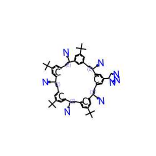 CC(C)(C)c1cc2cc(c1)/C(C#N)=C/c1cc(cc(C(C)(C)C)c1)/C(C#N)=C/c1cc(cc(C(C)(C)C)c1)/C(C#N)=C/c1cc(cc(C(C)(C)C)c1)/C(C#N)=C/c1cc(cc(C3C=NN=N3)c1)/C(C#N)=C/2